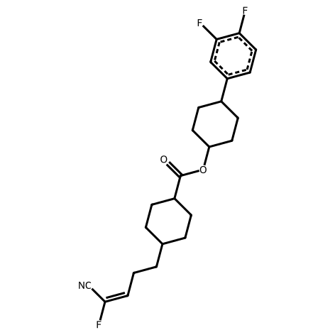 N#C/C(F)=C\CCC1CCC(C(=O)OC2CCC(c3ccc(F)c(F)c3)CC2)CC1